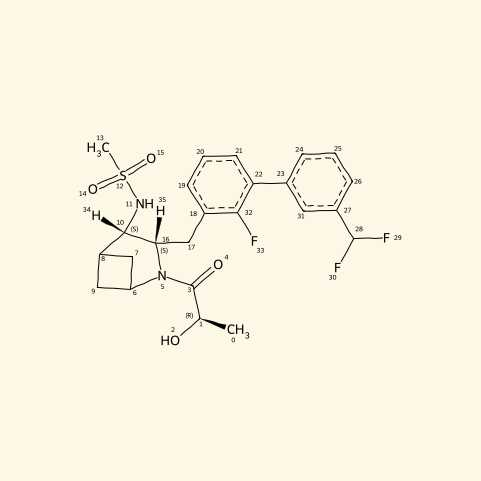 C[C@@H](O)C(=O)N1C2CC(C2)[C@H](NS(C)(=O)=O)[C@@H]1Cc1cccc(-c2cccc(C(F)F)c2)c1F